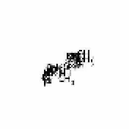 CC1CC(O)(c2cc(C(F)(F)F)nn2C)CC(COc2cc(C(F)(F)F)c3c(c2)ncn3C(C)C)N1